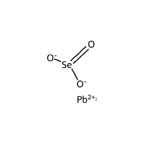 O=[Se]([O-])[O-].[Pb+2]